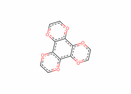 c1coc2c(o1)c1occoc1c1occoc21